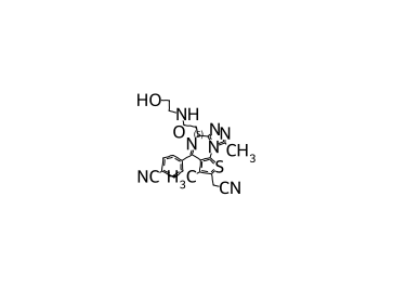 Cc1c(CC#N)sc2c1C(c1ccc(C#N)cc1)=N[C@@H](CC(=O)NCCO)c1nnc(C)n1-2